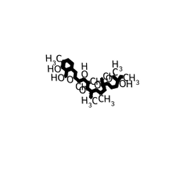 CCC(C(=O)C(C)C(O)C(C)CCc1ccc(C)c(O)c1C(=O)O)C1OC(CC)(C2CCC(O)(CC)C(C)O2)CC1C